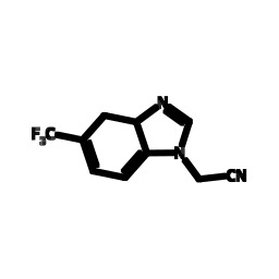 N#CCN1C=NC2CC(C(F)(F)F)=CC=C21